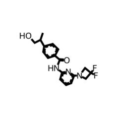 CC(CO)c1ccc(C(=O)Nc2cccc(N3CC(F)(F)C3)n2)cc1